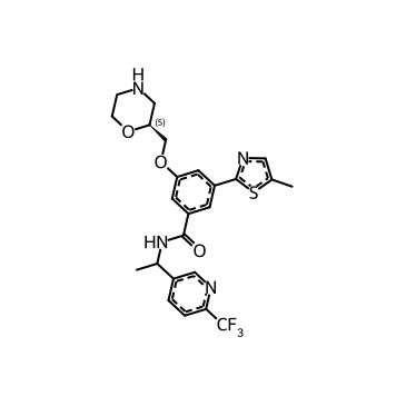 Cc1cnc(-c2cc(OC[C@@H]3CNCCO3)cc(C(=O)NC(C)c3ccc(C(F)(F)F)nc3)c2)s1